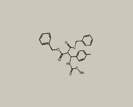 Cc1ccc(C(NC(=O)OC(C)(C)C)C(C(=O)OCc2ccccc2)C(=O)OCc2ccccc2)cc1